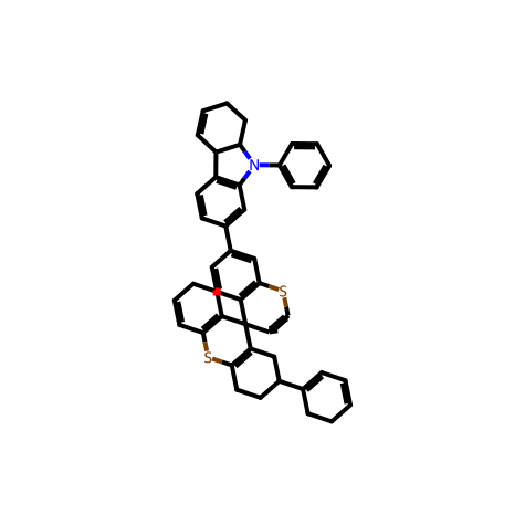 C1=CCCC(C2CCC3=C(C2)C2(C4=CC=CCC4Sc4cc(-c5ccc6c(c5)N(c5ccccc5)C5CCC=CC65)ccc42)C2=C(C=CCC2)S3)=C1